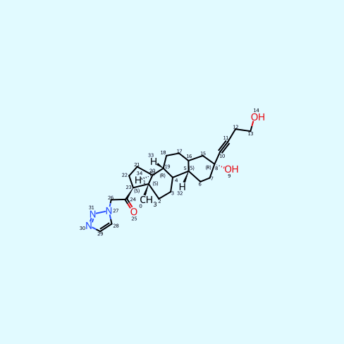 C[C@]12CCC3[C@H]4CC[C@](O)(C#CCCO)CC4CC[C@H]3[C@@H]1CC[C@@H]2C(=O)Cn1ccnn1